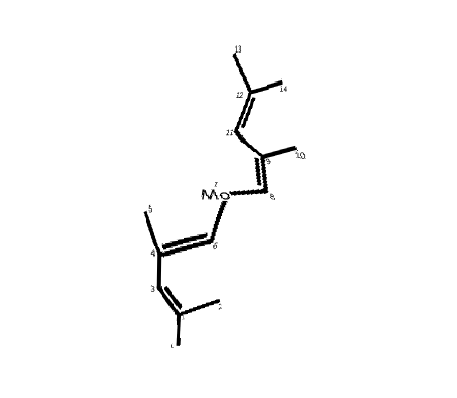 CC(C)=CC(C)=[CH][Mo][CH]=C(C)C=C(C)C